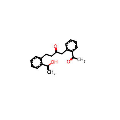 C=C(O)c1ccccc1CCC(=O)Cc1ccccc1C(C)=O